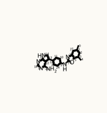 Cc1cc(C)c2oc(Nc3ccc(-c4c[nH]c5ncnc(N)c45)cc3)nc2c1